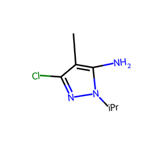 Cc1c(Cl)nn(C(C)C)c1N